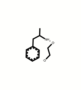 CC(N)Cc1ccccc1.[O]CC[O]